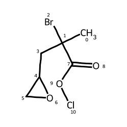 CC(Br)(CC1CO1)C(=O)OCl